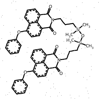 C[Si](C)(CCCN1C(=O)c2cccc3c(Oc4ccccc4)ccc(c23)C1=O)O[Si](C)(C)CCCN1C(=O)c2cccc3c(Oc4ccccc4)ccc(c23)C1=O